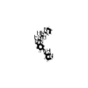 O=C(Nc1ncccn1)Nc1ncc2ccc(NCc3cccnc3)cc2n1